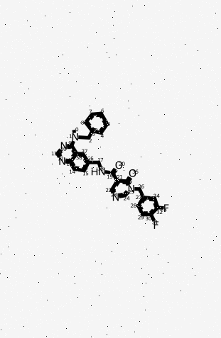 CN(Cc1ccccc1)c1ncnc2ccc(CNC(=O)c3cncn(Cc4ccc(F)c(F)c4)c3=O)cc12